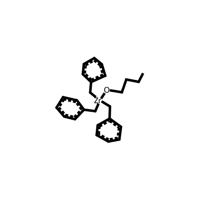 CCCC[O][Zr]([CH2]c1ccccc1)([CH2]c1ccccc1)[CH2]c1ccccc1